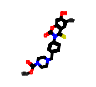 CC(C)c1cc2c(=S)n(-c3ccc(CN4CCN(C(=O)OC(C)(C)C)CC4)cc3)c(=O)oc2cc1O